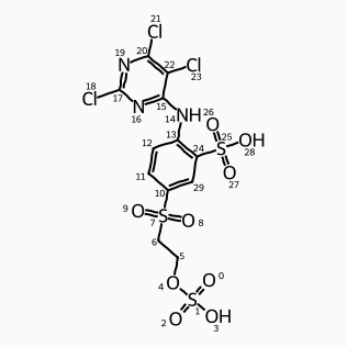 O=S(=O)(O)OCCS(=O)(=O)c1ccc(Nc2nc(Cl)nc(Cl)c2Cl)c(S(=O)(=O)O)c1